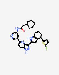 O=C(CC1CCCCC1)Nc1cncc(-c2ccc3[nH]nc(-c4cc5c([nH]4)C=CCC5c4ccc(F)s4)c3n2)c1